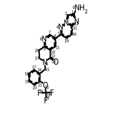 Nc1cn2nc(-c3cnc4c(c3)C(=O)N(Cc3ccccc3OC(F)(F)F)CC4)ccc2n1